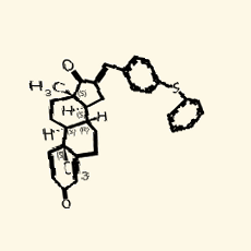 C[C@]12C=CC(=O)C=C1CC[C@@H]1[C@@H]2CC[C@]2(C)C(=O)C(=Cc3ccc(Sc4ccccc4)cc3)C[C@@H]12